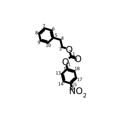 O=C(OCCc1ccccc1)Oc1ccc([N+](=O)[O-])cc1